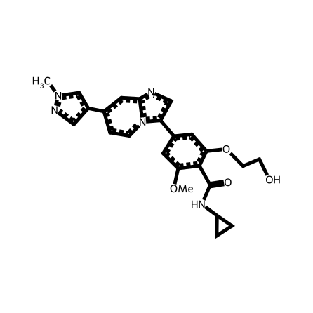 COc1cc(-c2cnc3cc(-c4cnn(C)c4)ccn23)cc(OCCO)c1C(=O)NC1CC1